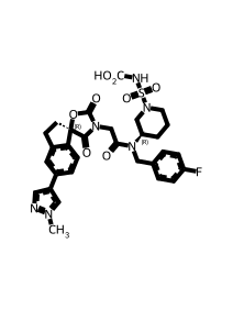 Cn1cc(-c2ccc3c(c2)CC[C@@]32OC(=O)N(CC(=O)N(Cc3ccc(F)cc3)[C@@H]3CCCN(S(=O)(=O)NC(=O)O)C3)C2=O)cn1